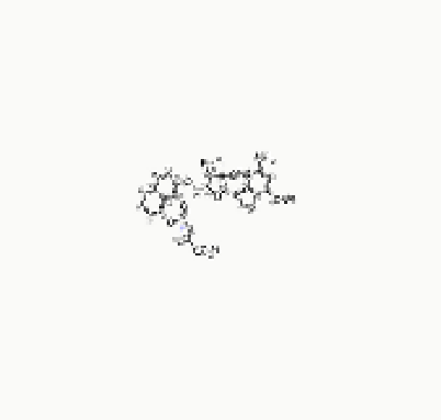 COc1nc(N)nc2c1ncn2[C@@H]1O[C@H](COc2ccc3ccccc3c2O/[P+]([O-])=N/C(C)C(=O)O)[C@@H](F)[C@@]1(C)O